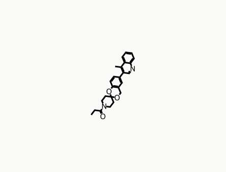 CCC(=O)N1CCC2(CC1)OCc1cc(-c3cnc4ccccc4c3C)ccc1O2